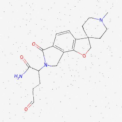 CN1CCC2(CC1)COc1c2ccc2c1CN(C(CCC=O)C(N)=O)C2=O